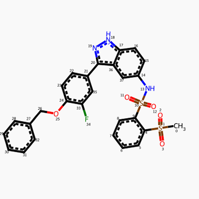 CS(=O)(=O)c1ccccc1S(=O)(=O)Nc1ccc2[nH]nc(-c3ccc(OCc4ccccc4)c(F)c3)c2c1